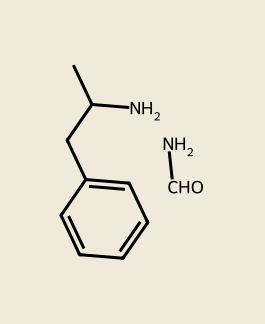 CC(N)Cc1ccccc1.NC=O